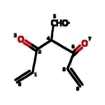 C=CC(=O)C([C]=O)C(=O)C=C